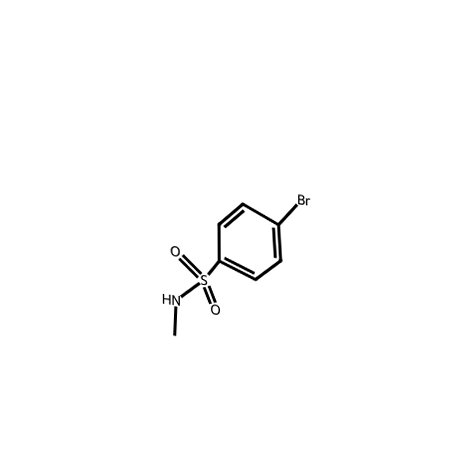 CNS(=O)(=O)c1ccc(Br)cc1